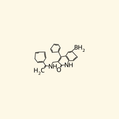 Bc1ccc2[nH]c(=O)c(CNC(=C)C3=CCC=CC=C3)c(-c3ccccc3)c2c1